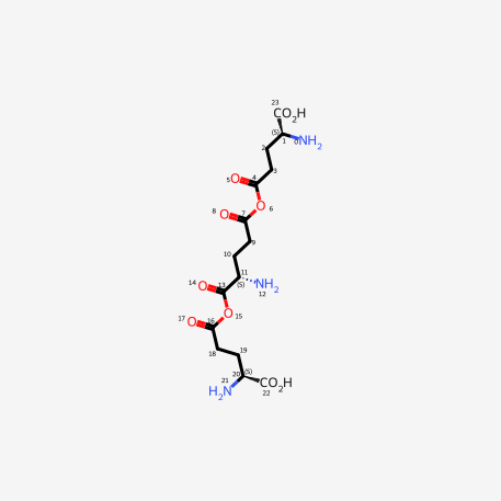 N[C@@H](CCC(=O)OC(=O)CC[C@H](N)C(=O)OC(=O)CC[C@H](N)C(=O)O)C(=O)O